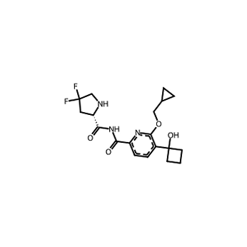 O=C(NC(=O)[C@@H]1CC(F)(F)CN1)c1ccc(C2(O)CCC2)c(OCC2CC2)n1